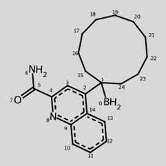 BC1(c2cc(C(N)=O)nc3ccccc23)CCCCCCCCCC1